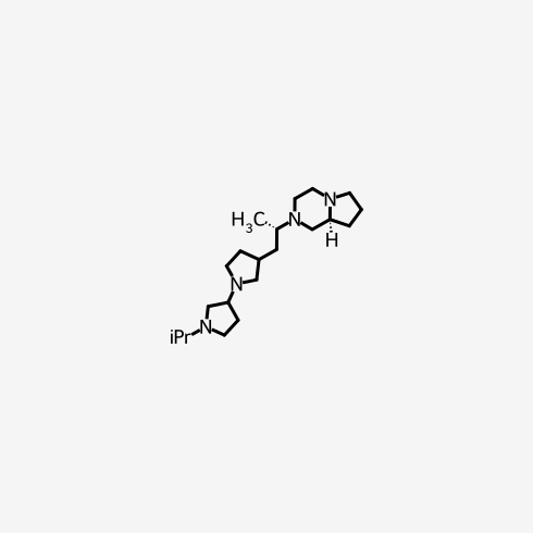 CC(C)N1CCC(N2CCC(C[C@H](C)N3CCN4CCC[C@H]4C3)C2)C1